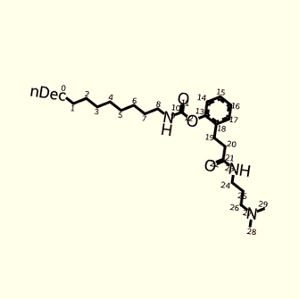 CCCCCCCCCCCCCCCCCCNC(=O)Oc1ccccc1CCC(=O)NCCCN(C)C